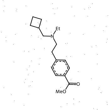 CCN(CCc1ccc(C(=O)OC)cc1)CC1CCC1